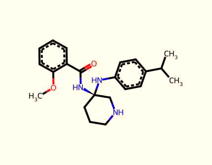 COc1ccccc1C(=O)N[C@]1(Nc2ccc(C(C)C)cc2)CCCNC1